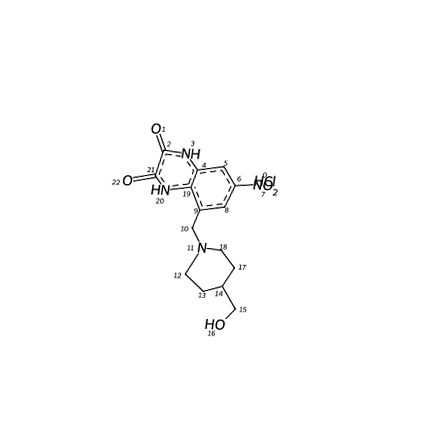 Cl.O=c1[nH]c2cc([N+](=O)[O-])cc(CN3CCC(CO)CC3)c2[nH]c1=O